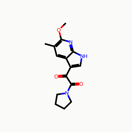 COc1nc2[nH]cc(C(=O)C(=O)N3CCCC3)c2cc1C